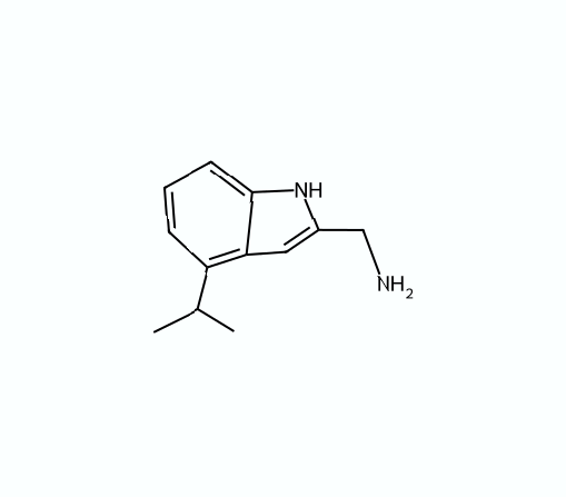 CC(C)c1cccc2[nH]c(CN)cc12